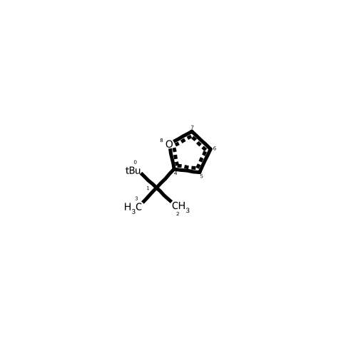 CC(C)(C)C(C)(C)c1ccco1